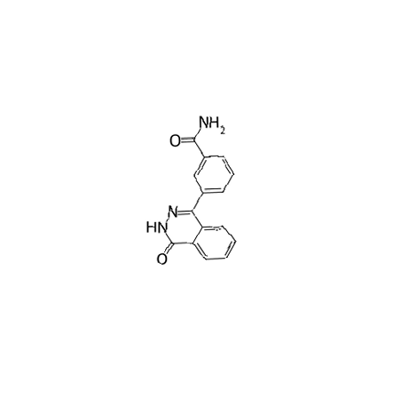 NC(=O)c1cccc(-c2n[nH]c(=O)c3ccccc23)c1